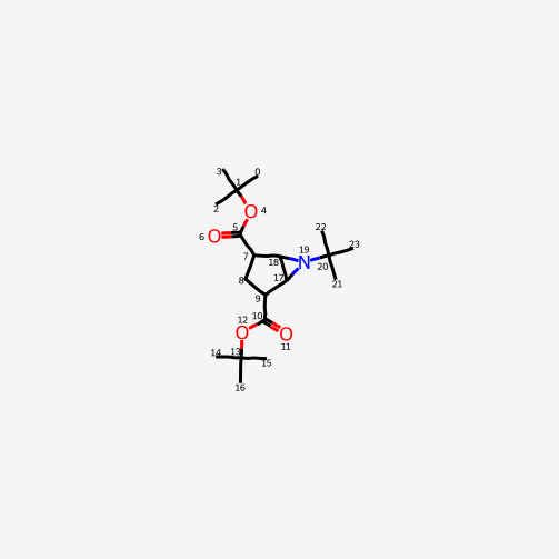 CC(C)(C)OC(=O)C1CC(C(=O)OC(C)(C)C)C2C1N2C(C)(C)C